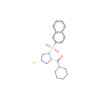 O=C([C@@H]1C[C@H](S)CN1S(=O)(=O)c1ccc2ccccc2c1)N1CCCCC1